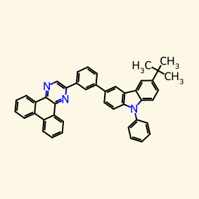 CC(C)(C)c1ccc2c(c1)c1cc(-c3cccc(-c4cnc5c6ccccc6c6ccccc6c5n4)c3)ccc1n2-c1ccccc1